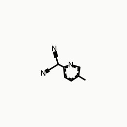 Cc1ccc(C(C#N)C#N)nc1